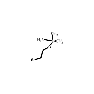 C[Si](C)(C)OCCBr